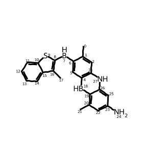 Cc1cc2c(cc1Bc1sc3ccccc3c1C)Bc1c(C)cc(N)cc1N2